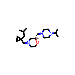 CC(C)CC1(CN2CCO[C@@H](CN3CCN(C(C)C)CC3)C2)CC1